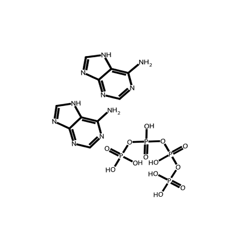 Nc1ncnc2nc[nH]c12.Nc1ncnc2nc[nH]c12.O=P(O)(O)OP(=O)(O)OP(=O)(O)OP(=O)(O)O